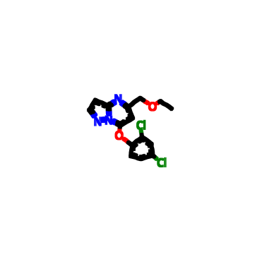 CCOCc1cc(Oc2ccc(Cl)cc2Cl)n2nccc2n1